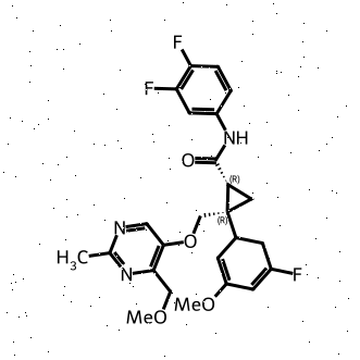 COCc1nc(C)ncc1OC[C@@]1(C2C=C(OC)C=C(F)C2)C[C@H]1C(=O)Nc1ccc(F)c(F)c1